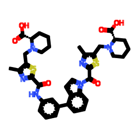 Cc1nc(C(=O)Nc2cccc(-c3cccc4c3ccn4C(=O)c3nc(C)c(CN4CCCC[C@H]4C(=O)O)s3)c2)sc1CN1CCCC[C@H]1C(=O)O